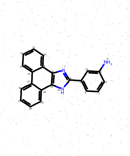 Nc1cccc(-c2nc3c4ccccc4c4ccccc4c3[nH]2)c1